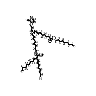 CCCCCCCCCOC(=O)CCCCCCCN(CCCCCCCCOC(=O)C(CCCCCCCC)CCCCCCCC)CCCn1ccnc1C